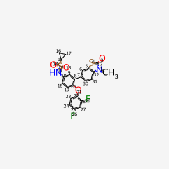 Cn1c(=O)sc2cc(-c3cc(NS(=O)(=O)C4CC4)ccc3Oc3ccc(F)cc3F)ccc21